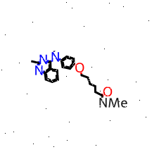 CNC(=O)CCCCCOc1ccc(N(C)c2nc(C)nc3ccccc23)cc1